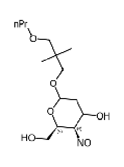 CCCOCC(C)(C)COC1CC(O)[C@@H](N=O)[C@@H](CO)O1